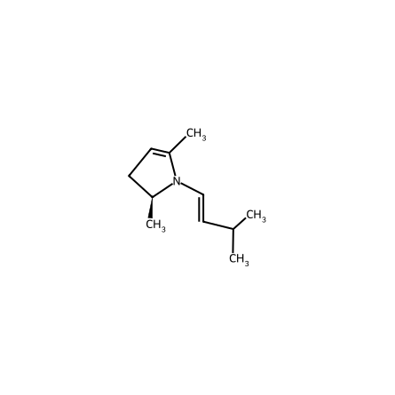 CC1=CC[C@H](C)N1/C=C/C(C)C